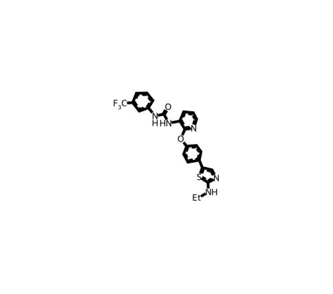 CCNc1ncc(-c2ccc(Oc3ncccc3NC(=O)Nc3cccc(C(F)(F)F)c3)cc2)s1